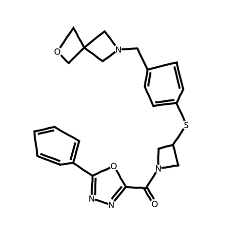 O=C(c1nnc(-c2ccccc2)o1)N1CC(Sc2ccc(CN3CC4(COC4)C3)cc2)C1